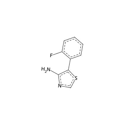 Nc1ncsc1-c1ccccc1F